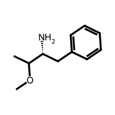 COC(C)[C@H](N)Cc1ccccc1